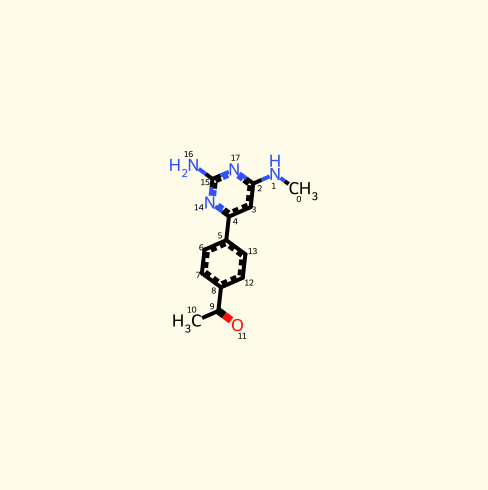 CNc1cc(-c2ccc(C(C)=O)cc2)nc(N)n1